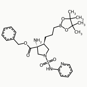 CC1(C)OB(CCC[C@H]2CN(S(=O)(=O)Nc3ccccn3)C[C@@]2(N)C(=O)OCc2ccccc2)OC1(C)C